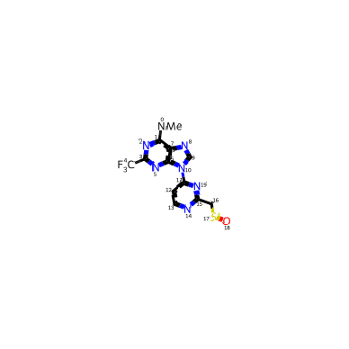 CNc1nc(C(F)(F)F)nc2c1ncn2-c1ccnc(C[S+]=O)n1